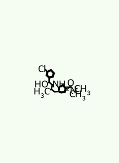 CC(Cc1ccc(C(=O)N(C)C)cc1)C(N)C(O)c1cccc(Cl)c1